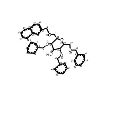 OC1C(OCc2ccccc2)[C@@H](COCc2ccc3ccccc3c2)OC(COCc2ccccc2)[C@H]1OCc1ccccc1